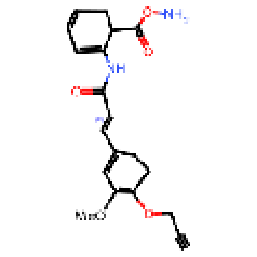 C#CCOC1=C(OC)C=C(/C=C/C(=O)NC2=CC=CCC2C(=O)ON)CC1